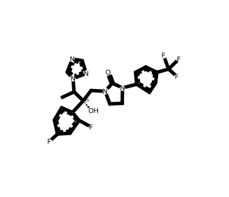 CC(n1cncn1)[C@@](O)(CN1CCN(c2ccc(C(F)(F)F)cc2)C1=O)c1ccc(F)cc1F